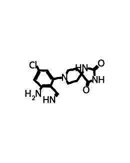 N=Cc1c(N)cc(Cl)cc1N1CCC2(CC1)NC(=O)NC2=O